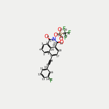 O=C1c2cccc3c(C#Cc4cccc(F)c4)ccc(c23)C(=O)N1OS(=O)(=O)C(F)(F)F